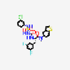 CN(C(=O)[C@H](Cc1cc(F)cc(F)c1)NC(=O)NS(=O)(=O)Nc1cccc(Cl)c1)c1ccc2sccc2c1